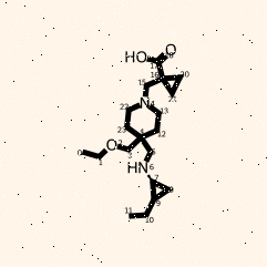 CCOCC1(CN[C@@H]2CC2CC)CCN(CC2(C(=O)O)CC2)CC1